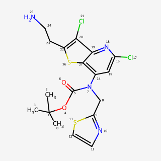 CC(C)(C)OC(=O)N(Cc1nccs1)c1cc(Cl)nc2c(Cl)c(CCN)sc12